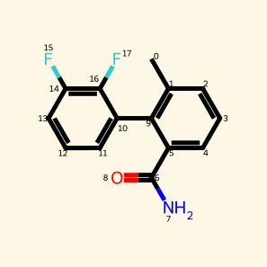 Cc1cccc(C(N)=O)c1-c1cccc(F)c1F